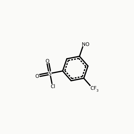 O=Nc1cc(C(F)(F)F)cc(S(=O)(=O)Cl)c1